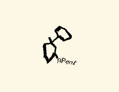 CCCCCC1=CC=CC(C)(c2ccccc2)C1